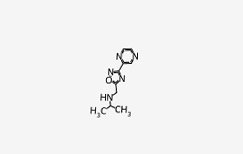 CC(C)NCc1nc(-c2cnccn2)no1